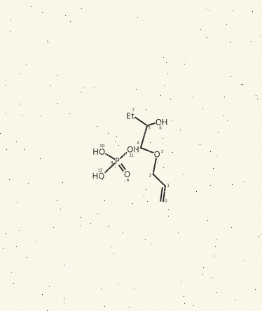 C=CCOCC(O)CC.O=P(O)(O)O